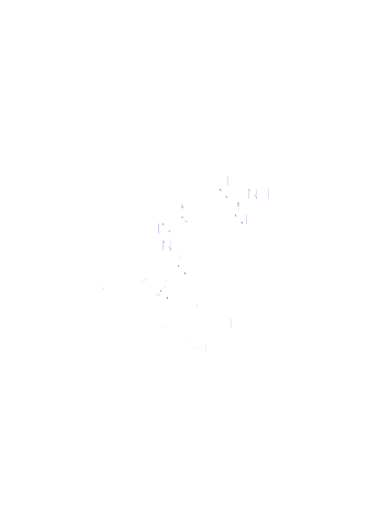 C[C@H]1O[C@@H](n2cc(-c3ccccc3)c3c2N=CN(Nc2ccc(NC(=N)N)cc2)C3)[C@H](O)[C@@H]1O